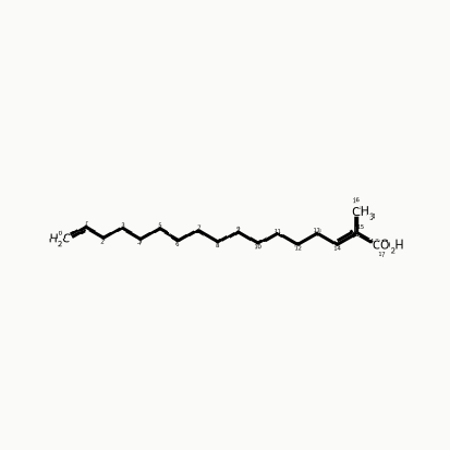 C=CCCCCCCCCCCCCC=C(C)C(=O)O